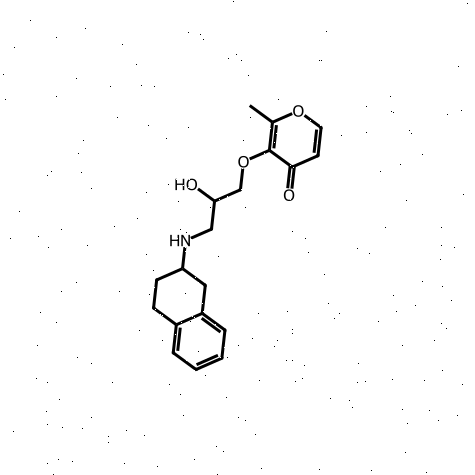 Cc1occc(=O)c1OCC(O)CNC1CCc2ccccc2C1